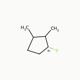 CC1CC[C@@H](F)C1C